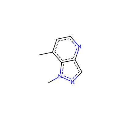 Cc1c[c]nc2cnn(C)c12